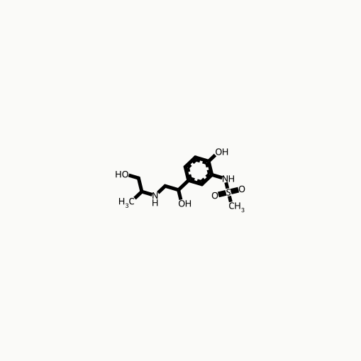 CC(CO)NCC(O)c1ccc(O)c(NS(C)(=O)=O)c1